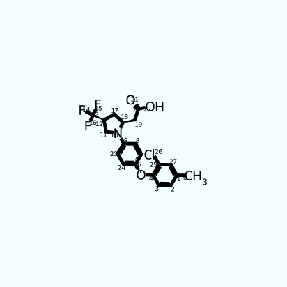 Cc1ccc(Oc2ccc(N3C[C@@H](C(F)(F)F)C[C@H]3CC(=O)O)cc2)c(Cl)c1